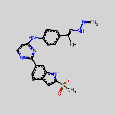 C=NN/C=C(\C)c1ccc(Nc2ccnc(-c3ccc4cc(S(C)(=O)=O)[nH]c4c3)n2)cc1